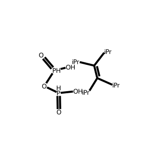 CC(C)C(=C(C(C)C)C(C)C)C(C)C.O=[PH](O)O[PH](=O)O